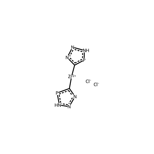 [Cl-].[Cl-].n1n[c]([Zr+2][c]2nn[nH]p2)p[nH]1